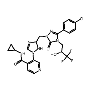 O=C(NC1CC1)c1ccncc1N1C=NC(Cn2nc(-c3ccc(Cl)cc3)n(C[C@H](O)C(F)(F)F)c2=O)N1